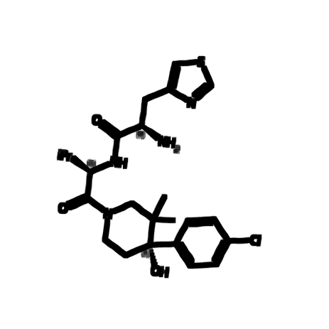 CC(C)[C@@H](NC(=O)[C@H](N)Cc1cscn1)C(=O)N1CC[C@](O)(c2ccc(Cl)cc2)C(C)(C)C1